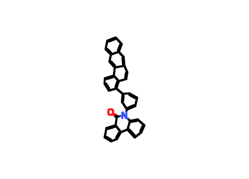 O=c1c2ccccc2c2ccccc2n1-c1cccc(-c2cccc3c2ccc2cc4ccccc4cc23)c1